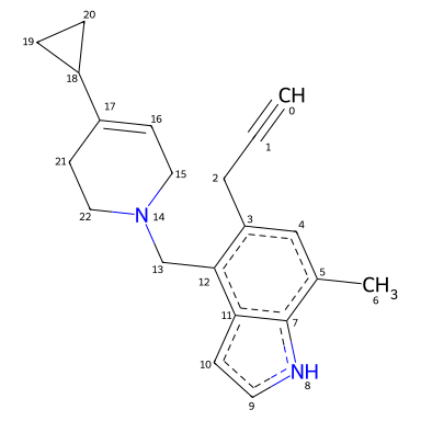 C#CCc1cc(C)c2[nH]ccc2c1CN1CC=C(C2CC2)CC1